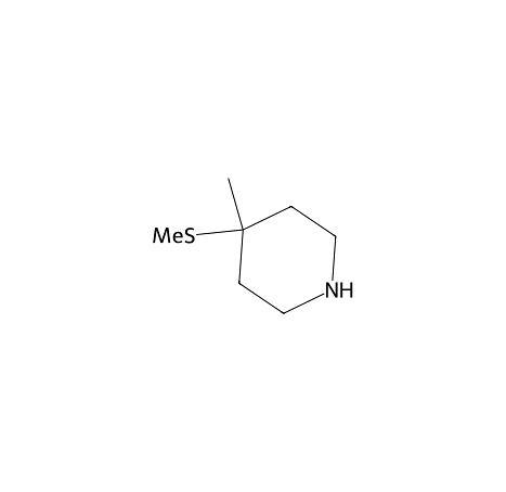 CSC1(C)CCNCC1